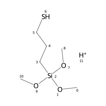 CO[Si](CCCS)(OC)OC.[H+]